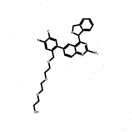 Nc1nc(C2[N]Cc3ccccc32)c2cc(-c3cc(F)c(F)cc3COCCOCCOCCO)ccc2n1